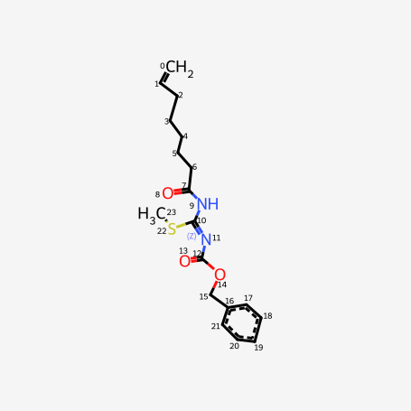 C=CCCCCCC(=O)N/C(=N/C(=O)OCc1ccccc1)SC